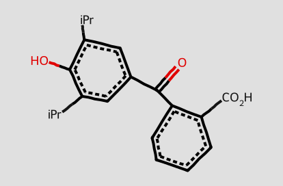 CC(C)c1cc(C(=O)c2ccccc2C(=O)O)cc(C(C)C)c1O